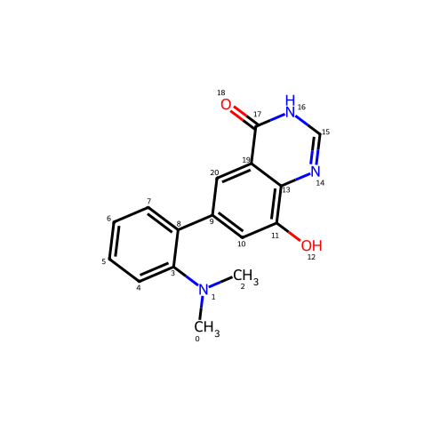 CN(C)c1ccccc1-c1cc(O)c2nc[nH]c(=O)c2c1